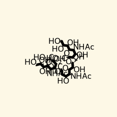 CC(=O)N[C@H]1[C@H]([C@H](O)[C@H](O)CO)OC(O)(C(=O)O)C[C@@H]1O[C@]1(C(=O)O)C[C@H](O)[C@@H](NC(C)=O)[C@H]([C@H](O)[C@@H](CO)O[C@]2(C(=O)O)C[C@H](O)[C@@H](NC(C)=O)[C@H]([C@H](O)[C@H](O)CO)O2)O1